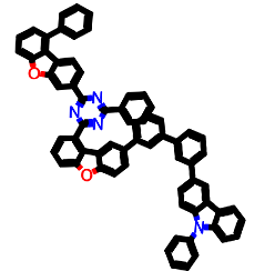 c1ccc(-c2nc(-c3ccc4c(c3)oc3cccc(-c5ccccc5)c34)nc(-c3cccc4oc5ccc(-c6cccc(-c7cccc(-c8ccc9c(c8)c8ccccc8n9-c8ccccc8)c7)c6)cc5c34)n2)cc1